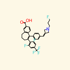 O=C(O)c1ccc2c(c1)CCCC(c1c(F)cc(C(F)(F)F)cc1F)=C2c1ccc(C=C2CN(CCCF)C2)cc1